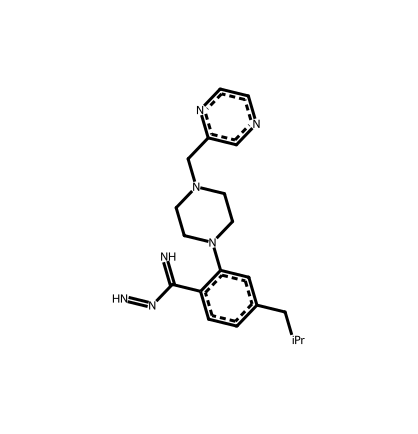 CC(C)Cc1ccc(C(=N)N=N)c(N2CCN(Cc3cnccn3)CC2)c1